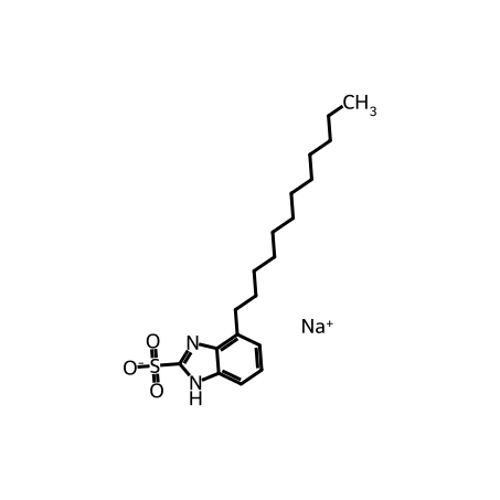 CCCCCCCCCCCCc1cccc2[nH]c(S(=O)(=O)[O-])nc12.[Na+]